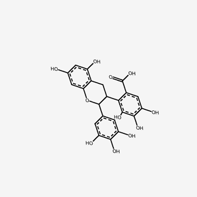 O=C(O)c1cc(O)c(O)c(O)c1C1Cc2c(O)cc(O)cc2OC1c1cc(O)c(O)c(O)c1